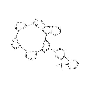 CC1(C)c2ccccc2-c2ccc(-c3nc4nc(n3)-n3c5ccccc5c5ccc(cc53)-c3cccc(c3)-c3cccc(c3)-c3cccc-4c3)cc21